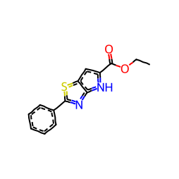 CCOC(=O)c1cc2sc(-c3ccccc3)nc2[nH]1